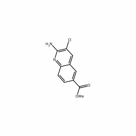 COC(=O)c1ccc2nc(N)c(Cl)cc2c1